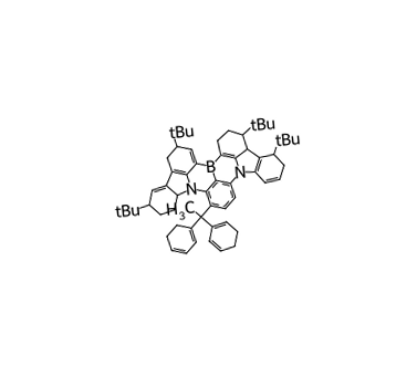 CC(C1=CCCC=C1)(C1=CC=CCC1)c1ccc2c3c1N1C4=C(CC(C(C)(C)C)C=C4B3C3=C4C(C5=C(C=CCC5C(C)(C)C)N42)C(C(C)(C)C)CC3)C2=CC(C(C)(C)C)CCC21